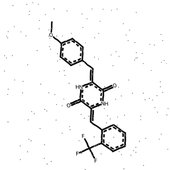 COc1ccc(/C=c2\[nH]c(=O)/c(=C/c3ccccc3C(F)(F)F)[nH]c2=O)cc1